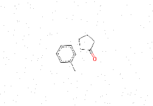 Cc1ccccc1.O=C1CCCC1